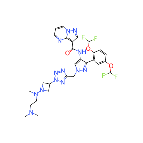 CN(C)CCN(C)N1CC(n2nnc(Cn3cc(NC(=O)c4cnn5cccnc45)c(-c4cc(OC(F)F)ccc4OC(F)F)n3)n2)C1